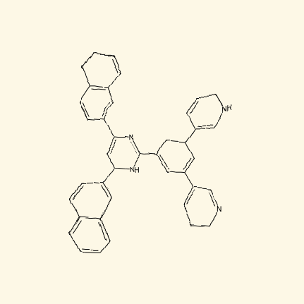 C1=Cc2cc(C3=CC(c4ccc5ccccc5c4)NC(C4=CC(C5=CCCN=C5)=CC(C5=CNCC=C5)C4)=N3)ccc2CC1